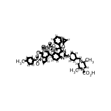 Cc1ccc(S(=O)(=O)n2ccc3c(-c4ccc5nc(N6CCC(CN7C[C@@H](C)N(C(=O)O)C[C@@H]7C)CC6)nc(C(COP(=O)(O)O)(OC6CC6)c6ccccc6)c5c4)cn(C)c(=O)c32)cc1